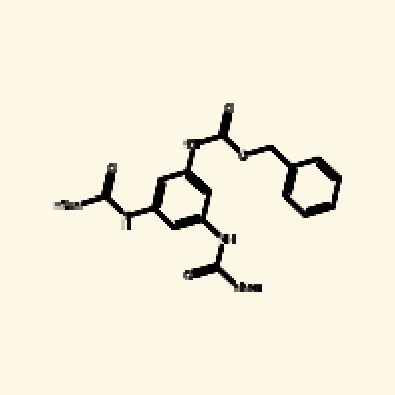 CCCCCCCCCC(=O)Nc1cc(NC(=O)CCCCCCCCC)cc(NC(=O)OCc2ccccc2)c1